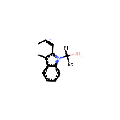 BC(CC)(CC)n1c(/C=C\C)c(C)c2ccccc21